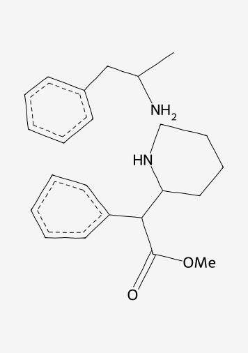 CC(N)Cc1ccccc1.COC(=O)C(c1ccccc1)C1CCCCN1